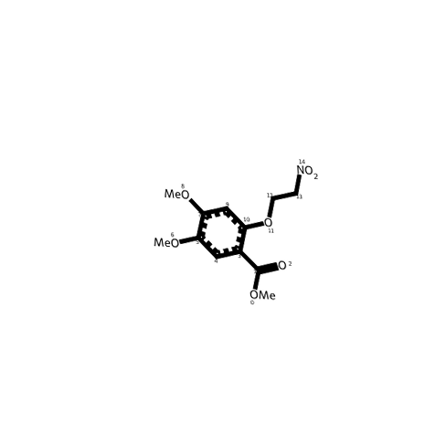 COC(=O)c1cc(OC)c(OC)cc1OCC[N+](=O)[O-]